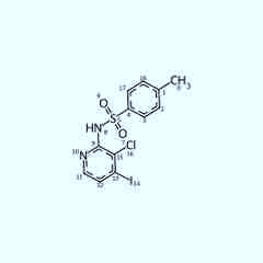 Cc1ccc(S(=O)(=O)Nc2nccc(I)c2Cl)cc1